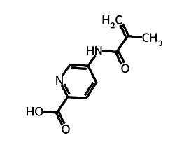 C=C(C)C(=O)Nc1ccc(C(=O)O)nc1